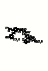 CC(C)C(=O)OCc1ccc(NC(=O)CNC(=O)C(NC(=O)C[C@H](/C(N)=C/N(N)CCCS(=O)(=O)O)N2C(=O)C=CC2=O)C(C)C)cc1CCC1CC(O)CC(C(=O)O)O1